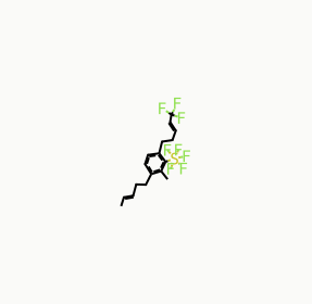 C/C=C/CCc1ccc(CC/C=C/C(F)(F)F)c(S(F)(F)(F)(F)F)c1C